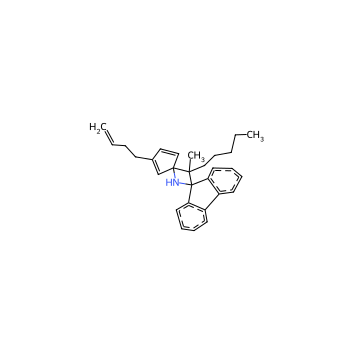 C=CCCC1=CC2(C=C1)NC1(c3ccccc3-c3ccccc31)C2(C)CCCCC